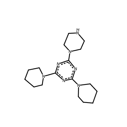 C1CCN(c2nc(N3CCCCC3)nc(N3CCNCC3)n2)CC1